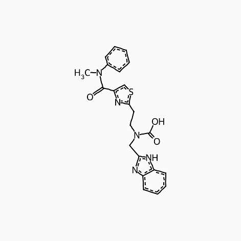 CN(C(=O)c1csc(CCN(Cc2nc3ccccc3[nH]2)C(=O)O)n1)c1ccccc1